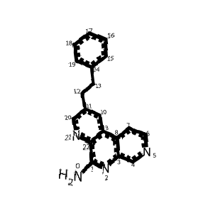 Nc1nc2cnccc2c2cc(CCc3ccccc3)cnc12